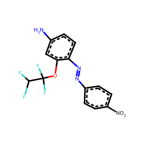 Nc1ccc(/N=N/c2ccc([N+](=O)[O-])cc2)c(OC(F)(F)C(F)F)c1